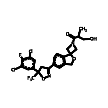 CC(CO)C(=O)N1CC2(C1)OCc1cc(C3=NOC(c4cc(Cl)c(F)c(Cl)c4)(C(F)(F)F)C3)ccc12